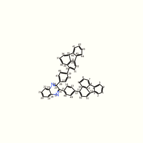 c1ccc2c(c1)-c1cccc3c(-c4ccc(-c5nc6ccccc6nc5-c5ccc(-c6ccc7c8c(cccc68)-c6ccccc6-7)cc5)cc4)ccc-2c13